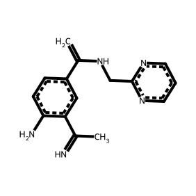 C=C(NCc1ncccn1)c1ccc(N)c(C(C)=N)c1